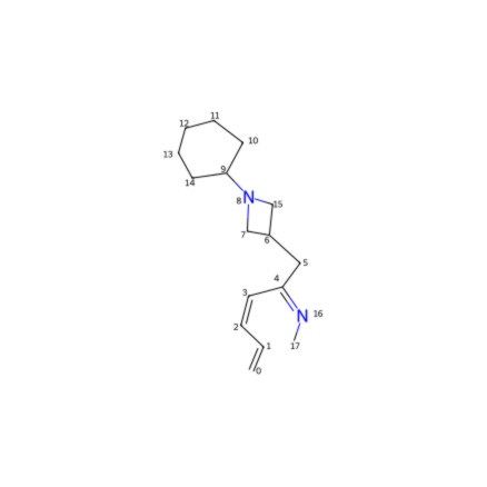 C=C/C=C\C(CC1CN(C2CCCCC2)C1)=N/C